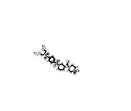 CCN(CC)S(=O)(=O)c1ccc(S(=O)(=O)N2CCC[C@@H](C(=O)N3CCS(=O)(=O)CC3)C2)cc1